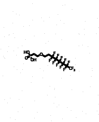 O=P(O)(O)CCOCCC(F)(F)C(F)(F)C(F)(F)C(F)(F)C(F)(F)C(F)(F)F